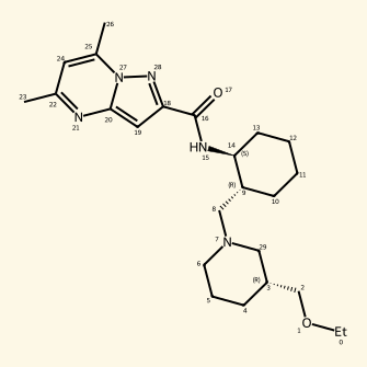 CCOC[C@@H]1CCCN(C[C@H]2CCCC[C@@H]2NC(=O)c2cc3nc(C)cc(C)n3n2)C1